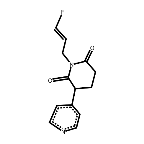 O=C1CCC(c2ccncc2)C(=O)N1CC=CF